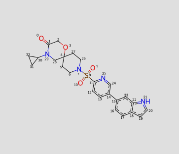 O=C1COC2(CCN(S(=O)(=O)c3ccc(-c4ccc5cc[nH]c5c4)cn3)CC2)CN1C1CC1